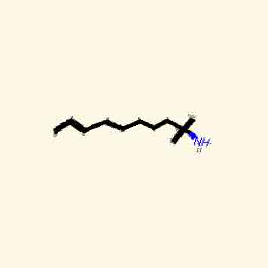 CCCCCCCCC(C)(C)[NH]